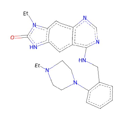 CCN1CCN(c2ccccc2CNc2ncnc3cc4c(cc23)[nH]c(=O)n4CC)CC1